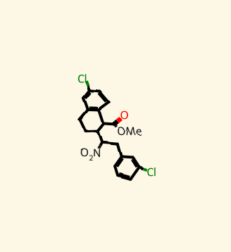 COC(=O)C1c2ccc(Cl)cc2CCC1C(Cc1cccc(Cl)c1)[N+](=O)[O-]